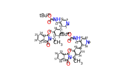 C[C@H](c1ccc(-c2cnccc2CNC(=O)OC(C)(C)C)cc1)N1C(=O)c2ccccc2C1=O.C[C@H](c1ccc(-c2cnccc2CNC(=O)OC(C)(C)C)cc1)N1C(=O)c2ccccc2C1=O